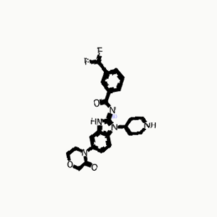 O=C(/N=c1\[nH]c2cc(N3CCOCC3=O)ccc2n1C1CCNCC1)c1cccc(C(F)F)c1